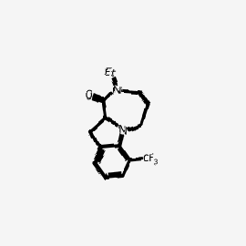 CCN1CCCN2c3c(cccc3C(F)(F)F)CC2C1=O